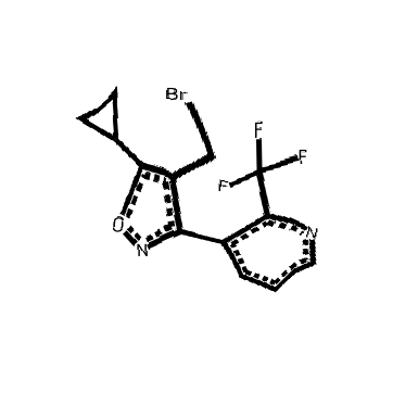 FC(F)(F)c1ncccc1-c1noc(C2CC2)c1CBr